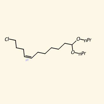 CCCOC(CCCCC/C=C\CCCCl)OCCC